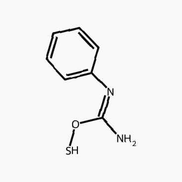 NC(=Nc1ccccc1)OS